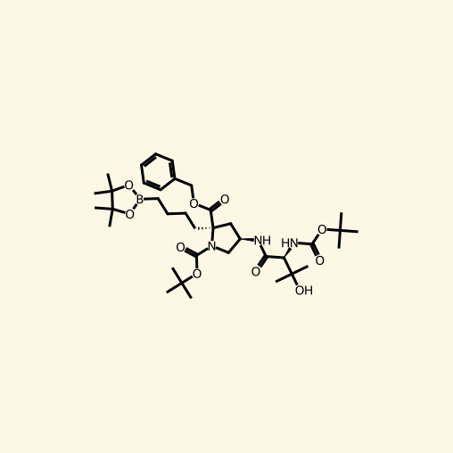 CC(C)(C)OC(=O)N[C@H](C(=O)N[C@H]1CN(C(=O)OC(C)(C)C)[C@@](CCCCB2OC(C)(C)C(C)(C)O2)(C(=O)OCc2ccccc2)C1)C(C)(C)O